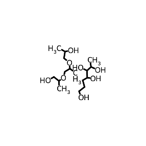 CC(O)C(O)C(O)CCCO.CC(O)COC(C)COC(C)CO